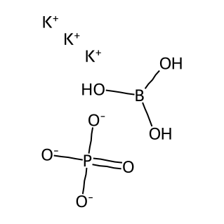 O=P([O-])([O-])[O-].OB(O)O.[K+].[K+].[K+]